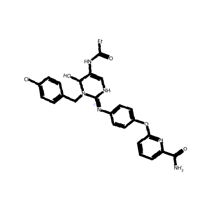 CCC(=O)NC1=CN/C(=N\c2ccc(Oc3cccc(C(N)=O)n3)cc2)N(Cc2ccc(Cl)cc2)C1O